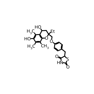 CCC1(COc2ccc(CC3SC(=O)NC3=O)cc2)CC(O)c2c(C)c(O)c(C)c(C)c2O1